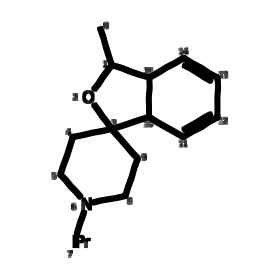 CC1OC2(CCN(C(C)C)CC2)C2C=CC=CC12